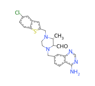 C[C@@H]1C(C=O)N(Cc2ccc3c(N)ncnc3c2)CCN1Cc1cc2cc(Cl)ccc2s1